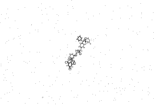 CN(C)C(c1ccccc1)C1CCC(CNC(=O)COC2CCCN(S(=O)(=O)c3c(Cl)cc(Cl)cc3Cl)C2)CC1